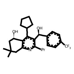 CC(C)c1nc2c(c(C3CCCC3)c1[C@@H](O)c1ccc(C(F)(F)F)cc1)[C@@H](O)CC(C)(C)C2